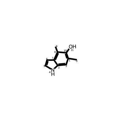 Cc1cc2[nH]ccc2c(C)c1O